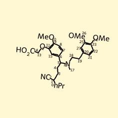 CCCC(C#N)CCC(c1ccc(OC)c(OCC(=O)O)c1)N(C)CCc1ccc(OC)c(OC)c1